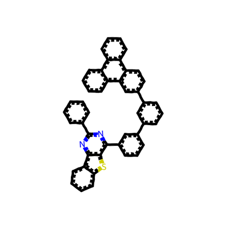 c1ccc(-c2nc(-c3cccc(-c4cccc(-c5ccc6c7ccccc7c7ccccc7c6c5)c4)c3)c3sc4ccccc4c3n2)cc1